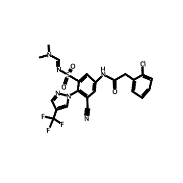 CN(C)/C=N/S(=O)(=O)c1cc(NC(=O)Cc2ccccc2Cl)cc(C#N)c1-n1cc(C(F)(F)F)cn1